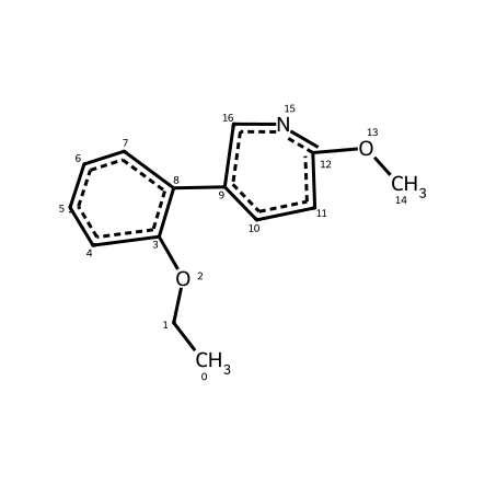 CCOc1c[c]ccc1-c1ccc(OC)nc1